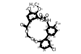 COc1c(Cl)cc2cc1S(=O)(=O)Nc1cc(ccc1F)-c1cc(Cl)ccc1OCCOC2=O